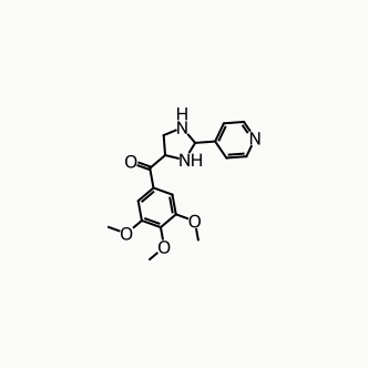 COc1cc(C(=O)C2CNC(c3ccncc3)N2)cc(OC)c1OC